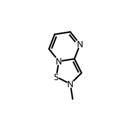 CN1C=C2N=CC=CN2S1